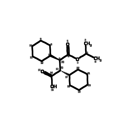 CC(C)OC(=O)[C@H](C1CCCCC1)[C@@H](C(=O)O)C1CCCCC1